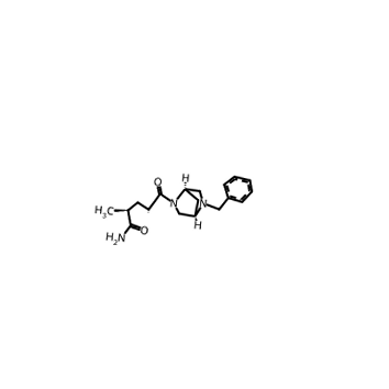 C[C@@H](C[CH]C(=O)N1C[C@H]2C[C@@H]1CN2Cc1ccccc1)C(N)=O